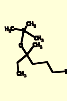 CCC(C)(CCCBr)O[Si](C)(C)C